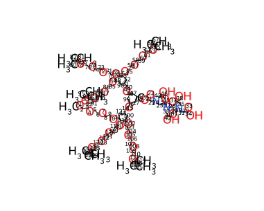 COCCOCCOCCOc1cc(COc2cc(COC(=O)CN(CCN(CCN(CC(=O)O)CC(=O)O)CC(=O)O)CC(=O)O)cc(OCc3cc(OCCOCCOCCOC(C)(C)C)c(OCCOCCOCCOC(C)(C)C)c(OCCOCCOCCOC(C)(C)C)c3)c2)cc(OCCOCCOCCOC(C)(C)C)c1OCCOCCOCCOC(C)(C)C